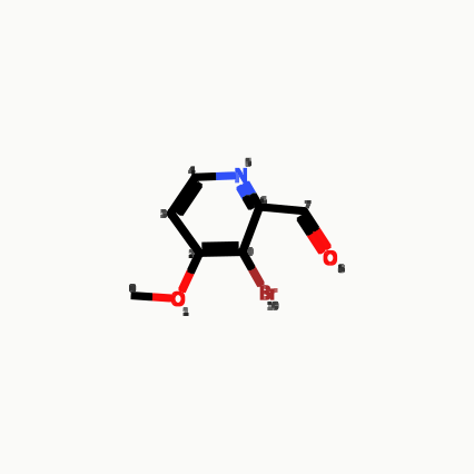 COc1ccnc(C=O)c1Br